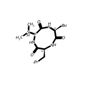 CCC(C)[C@@H]1NC(=O)P([SiH](C)C)NC(=O)[C@H](CC(C)C)NC1=O